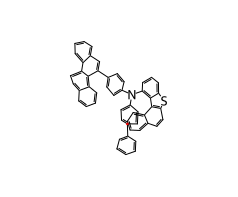 c1ccc(-c2ccc(N(c3ccc(-c4cc5ccccc5c5ccc6ccccc6c45)cc3)c3cccc4sc5ccc6ccccc6c5c34)cc2)cc1